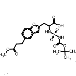 COC(=O)CCc1ccc2oc(CC(NS(=O)(=O)NC(=O)OC(C)(C)C)C(=O)O)cc2c1